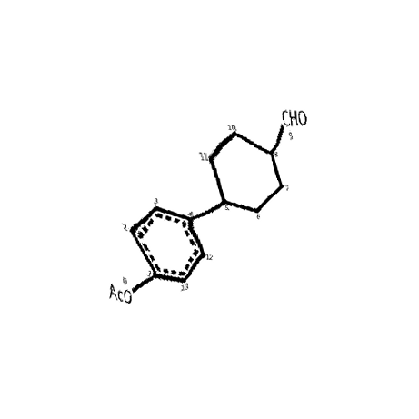 CC(=O)Oc1ccc(C2CCC(C=O)CC2)cc1